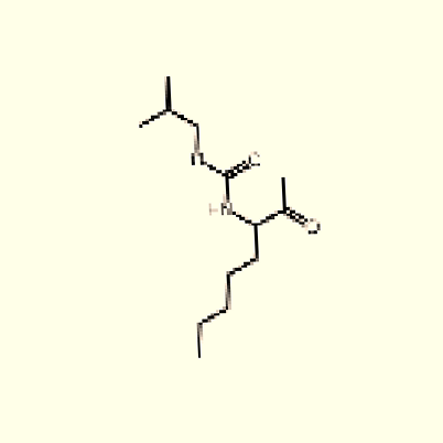 CCCCCC(NC(=O)OCC(C)C)C(C)=O